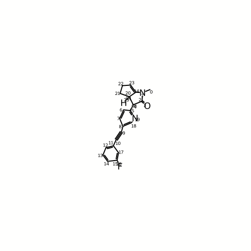 CN1C(=O)[C@@H](c2ccc(C#Cc3cccc(F)c3)cn2)[C@@H]2CCC=C21